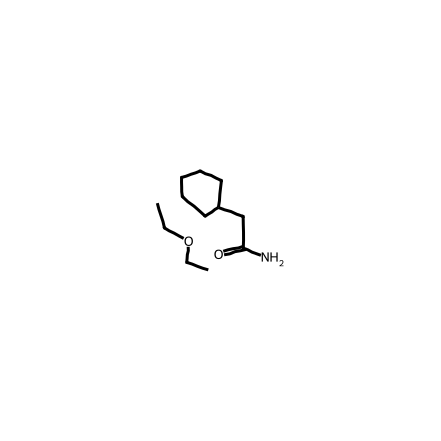 CCOCC.NC(=O)CC1CCCCC1